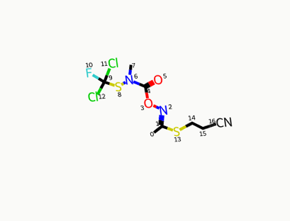 CC(=NOC(=O)N(C)SC(F)(Cl)Cl)SCCC#N